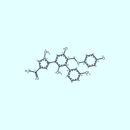 Cc1c(-c2cc(C(N)=O)nn2C)cc(Cl)c(COc2ccc(Cl)cc2)c1-c1cccc(C(F)(F)F)c1